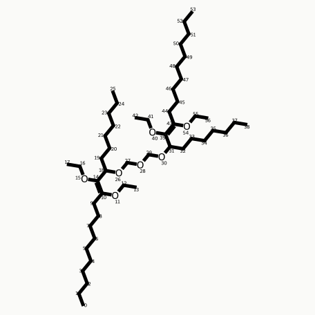 CCCCCCCCCCC(OCC)=C(OCC)C(CCCCCCC)OCOCOC(CCCCCCC)C(OCC)=C(CCCCCCCCCC)OCC